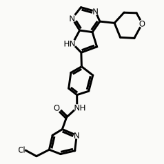 O=C(Nc1ccc(-c2cc3c(C4CCOCC4)ncnc3[nH]2)cc1)c1cc(CCl)ccn1